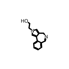 OCCn1cc2c(c1)-c1ccccc1C=NC2